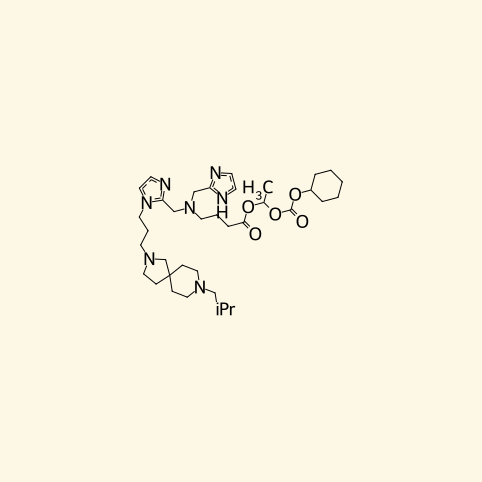 CC(C)CN1CCC2(CC1)CCN(CCCn1ccnc1CN(CCCC(=O)OC(C)OC(=O)OC1CCCCC1)Cc1ncc[nH]1)C2